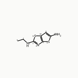 CCNc1nc2sc(N)cc2s1